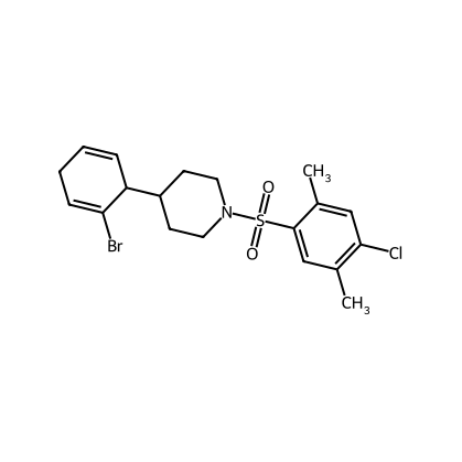 Cc1cc(S(=O)(=O)N2CCC(C3C=CCC=C3Br)CC2)c(C)cc1Cl